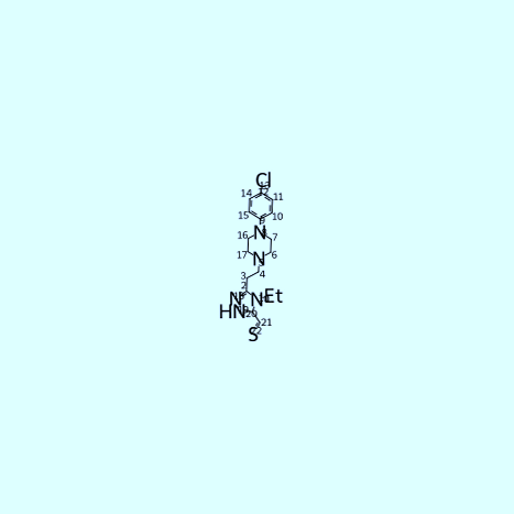 CCN1C(CCN2CCN(c3ccc(Cl)cc3)CC2)=NNC1C=S